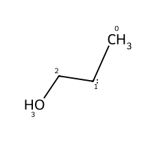 C[C]CO